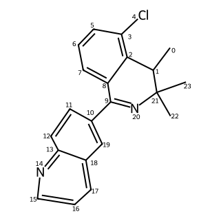 CC1c2c(Cl)cccc2C(c2ccc3ncccc3c2)=NC1(C)C